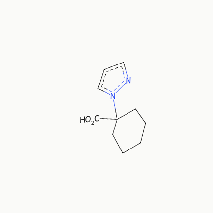 O=C(O)C1(n2cccn2)CCCCC1